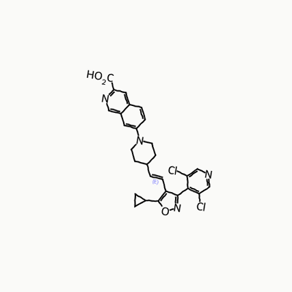 O=C(O)c1cc2ccc(N3CCC(/C=C/c4c(-c5c(Cl)cncc5Cl)noc4C4CC4)CC3)cc2cn1